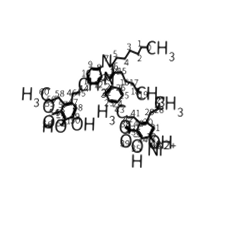 CCCCCCC(=Nc1ccccc1)C(CCCCC)=Nc1ccccc1.CCCc1cc(O)c(O)c(C(=O)[O-])c1CCC.CCCc1cc(O)c(O)c(C(=O)[O-])c1CCC.[Ni+2]